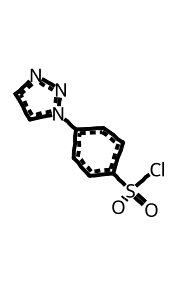 O=S(=O)(Cl)c1ccc(-n2ccnn2)cc1